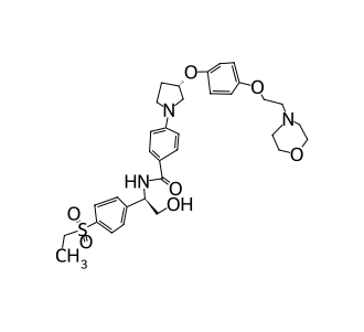 CCS(=O)(=O)c1ccc([C@H](CO)NC(=O)c2ccc(N3CC[C@H](Oc4ccc(OCCN5CCOCC5)cc4)C3)cc2)cc1